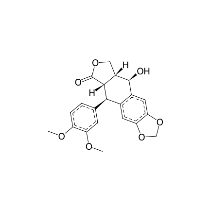 COc1ccc([C@@H]2c3cc4c(cc3[C@H](O)[C@H]3COC(=O)[C@@H]23)OCO4)cc1OC